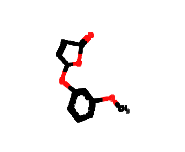 COc1cccc(OC2C=CC(=O)O2)c1